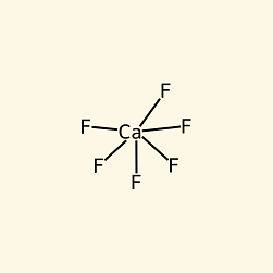 [F][Ca]([F])([F])([F])([F])[F]